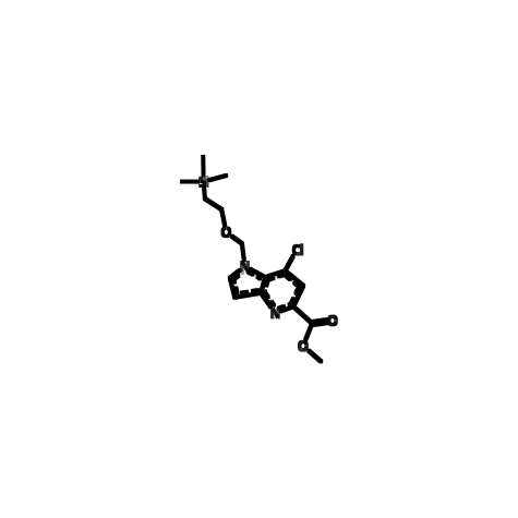 COC(=O)c1cc(Cl)c2c(ccn2COCC[Si](C)(C)C)n1